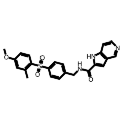 COc1ccc(S(=O)(=O)c2ccc(CNC(=O)c3cc4cnccc4[nH]3)cc2)c(C)c1